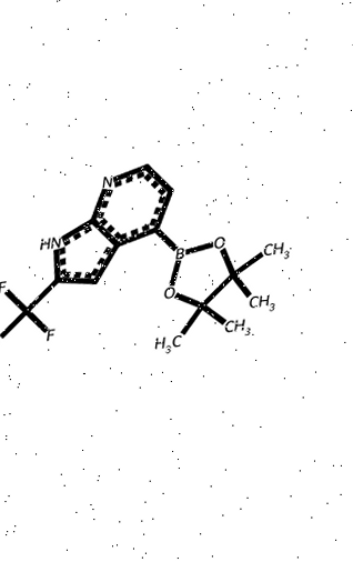 CC1(C)OB(c2ccnc3[nH]c(C(F)(F)F)cc23)OC1(C)C